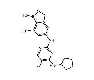 Cc1cc(Nc2ncc(Cl)c(NC3CCCC3)n2)cc2c1B(O)OC2